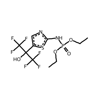 CCOP(=O)(Nc1ncc(C(O)(C(F)(F)F)C(F)(F)F)s1)OCC